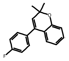 CC1(C)C=C(c2ccc(F)cc2)c2cc[c]cc2O1